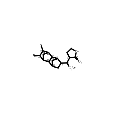 CC(=O)OC(C1CCOC1=O)C1CC2CC1C1C3CC(C(C)C3C)C21